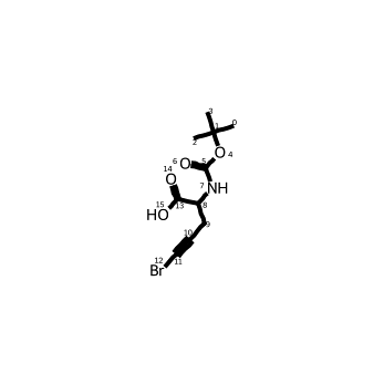 CC(C)(C)OC(=O)NC(CC#CBr)C(=O)O